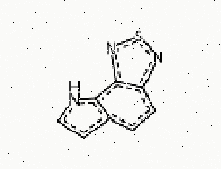 c1cc2ccc3nsnc3c2[nH]1